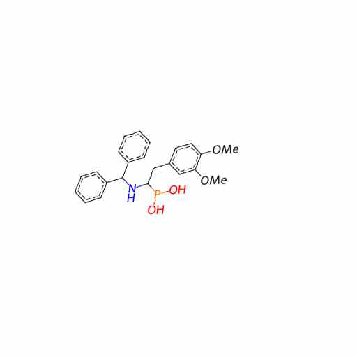 COc1ccc(CC(NC(c2ccccc2)c2ccccc2)P(O)O)cc1OC